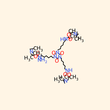 CC1CN1CC(C)(C)OC(=O)NCCCCCCn1c(=O)n(CCCCCCNC(=O)OC(C)(C)CN2CC2C)c(=O)n(CCCCCCN(N)C(=O)OC(C)(C)CN2CC2C)c1=O